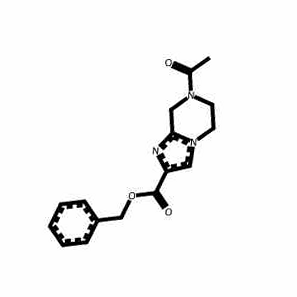 CC(=O)N1CCn2cc(C(=O)OCc3ccccc3)nc2C1